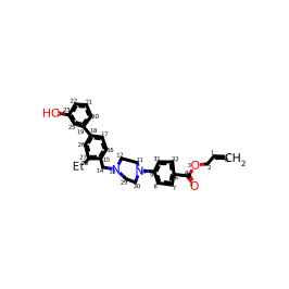 C=CCOC(=O)c1ccc(N2CCN(Cc3ccc(-c4cccc(O)c4)cc3CC)CC2)cc1